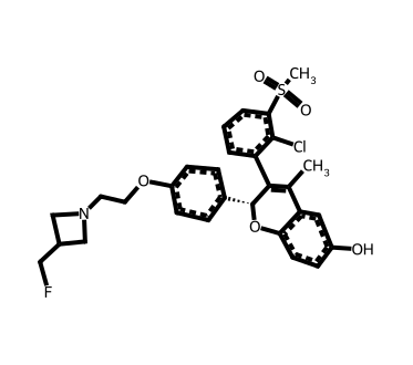 CC1=C(c2cccc(S(C)(=O)=O)c2Cl)[C@@H](c2ccc(OCCN3CC(CF)C3)cc2)Oc2ccc(O)cc21